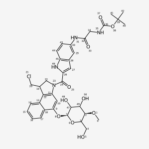 CO[C@H]1C(CO)O[C@@H](Oc2cc3c(c4ccccc24)C(CCl)CN3C(=O)c2cc3cc(NC(=O)CNC(=O)OC(C)(C)C)ccc3[nH]2)C(O)C1O